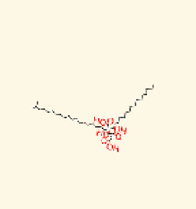 CCCCCCCCCCCCCCCCC(CCCCCCCCCCCCCCCCCC(C)C)(C(=O)O)C(O)(CC(=O)O)C(=O)O